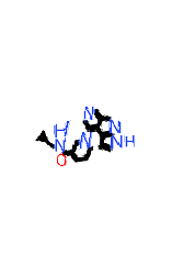 O=C(NCC1CC1)C1CCCN(c2cncc3cnc4[nH]ccc4c23)C1